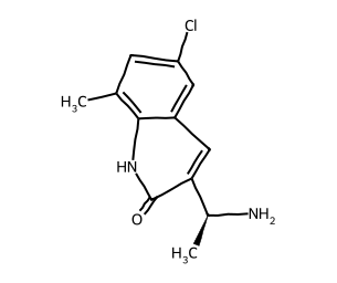 Cc1cc(Cl)cc2cc([C@H](C)N)c(=O)[nH]c12